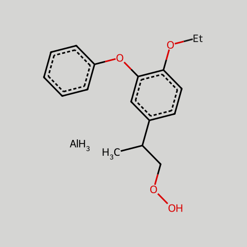 CCOc1ccc(C(C)COO)cc1Oc1ccccc1.[AlH3]